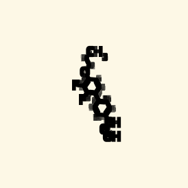 CCCOc1ccc(-c2ccc(BOO)cc2)c(F)c1F